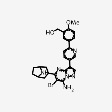 COc1ccc(-c2ccc(-c3cnn4c(N)c(Br)c(C5CC6CCC(C5)N6)nc34)cn2)cc1CO